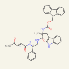 COC(=O)/C=C/C(=O)N[C@@H](CNC(=O)[C@@](C)(Cc1c[nH]c2ccccc12)NC(=O)OCC1c2ccccc2-c2ccccc21)c1ccccc1